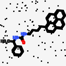 O=C(NCCCCc1ccc2ccc3cccc4ccc1c2c34)NC(C(=O)O)c1ccccc1